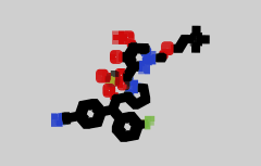 C[Si](C)(C)CCOCn1cc(O)c(=O)c(C(=O)N2CCCC2C(OS(C)(=O)=O)C(c2ccc(C#N)cc2)c2cccc(F)c2)n1